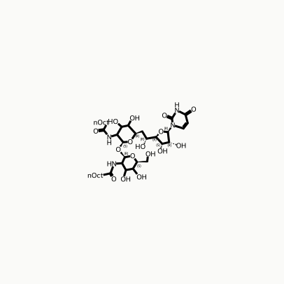 CCCCCCCCC(=O)NC1C(O)C(O)[C@H](CO)O[C@@H]1O[C@@H]1O[C@H](C[C@@H](O)[C@H]2O[C@@H](n3ccc(=O)[nH]c3=O)[C@H](O)[C@@H]2O)C(O)C(O)C1NC(=O)CCCCCCCC